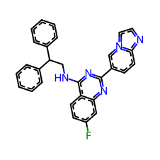 Fc1ccc2c(NCC(c3ccccc3)c3ccccc3)nc(-c3ccc4nccn4c3)nc2c1